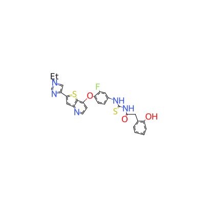 CCn1cnc(-c2cc3nccc(Oc4ccc(NC(=S)NC(=O)Cc5ccccc5O)cc4F)c3s2)c1